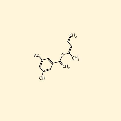 C=C/C=C(/C)SC(=C)c1cc(O)cc(C(C)=O)c1